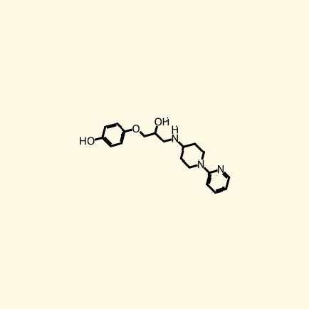 Oc1ccc(OCC(O)CNC2CCN(c3ccccn3)CC2)cc1